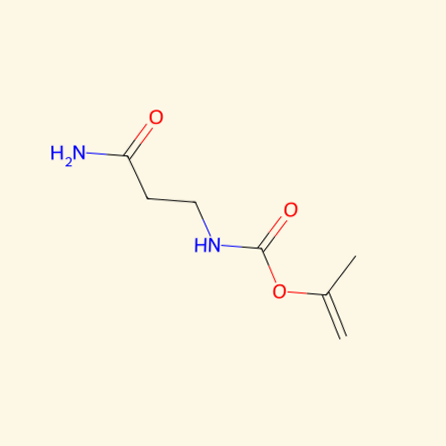 C=C(C)OC(=O)NCCC(N)=O